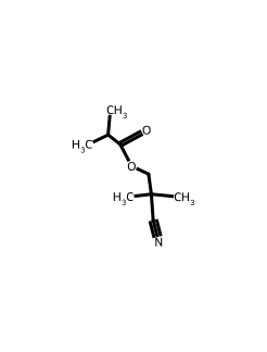 CC(C)C(=O)OCC(C)(C)C#N